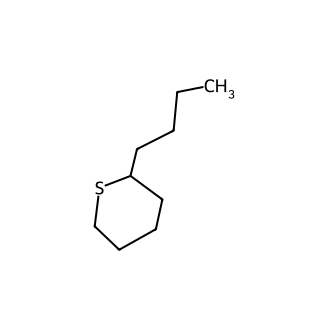 CCCCC1CCCCS1